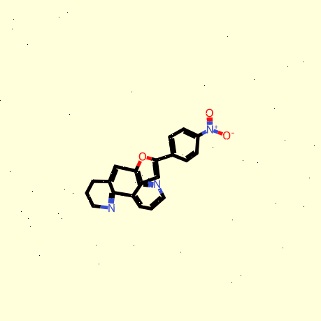 O=[N+]([O-])c1ccc(-c2ccc(/C=C3/CCCN=C3c3cccnc3)o2)cc1